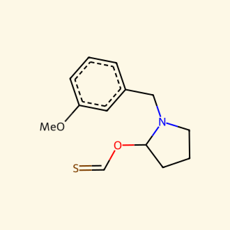 COc1cccc(CN2CCCC2OC=S)c1